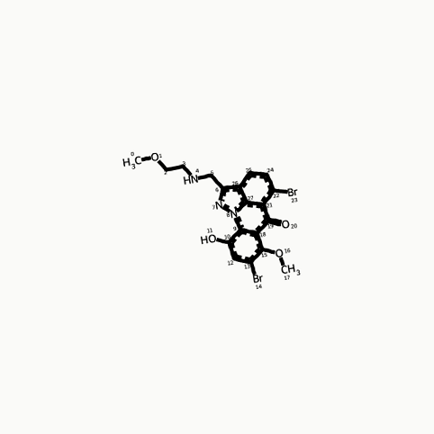 COCCNCc1nn2c3c(O)cc(Br)c(OC)c3c(=O)c3c(Br)ccc1c32